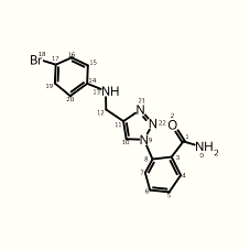 NC(=O)c1ccccc1-n1cc(CNc2ccc(Br)cc2)nn1